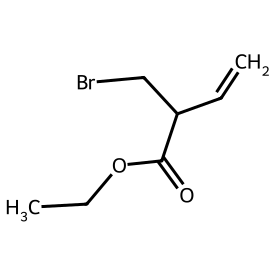 C=CC(CBr)C(=O)OCC